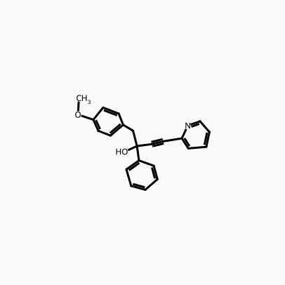 COc1ccc(CC(O)(C#Cc2ccccn2)c2ccccc2)cc1